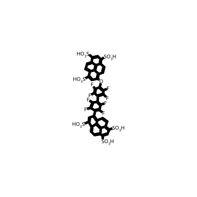 O=S(=O)(O)c1cc(Oc2c(F)c(F)c(-c3c(F)c(F)c(-c4cc(S(=O)(=O)O)c5ccc6c(S(=O)(=O)O)cc(S(=O)(=O)O)c7ccc4c5c76)c(F)c3F)c(F)c2F)c2ccc3c(S(=O)(=O)O)cc(S(=O)(=O)O)c4ccc1c2c34